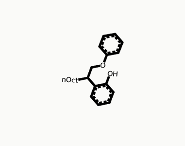 CCCCCCCCC(COc1ccccc1)c1ccccc1O